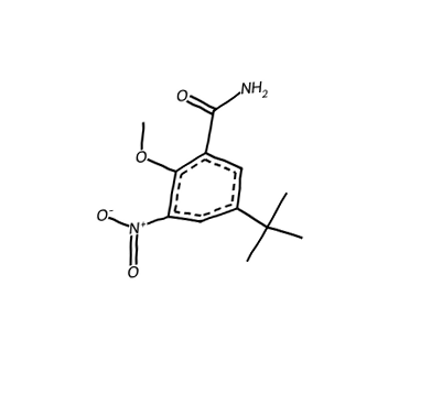 COc1c(C(N)=O)cc(C(C)(C)C)cc1[N+](=O)[O-]